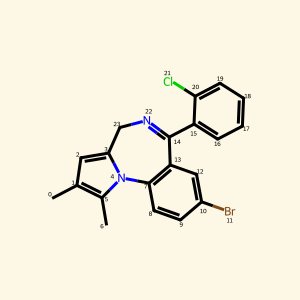 Cc1cc2n(c1C)-c1ccc(Br)cc1C(c1ccccc1Cl)=NC2